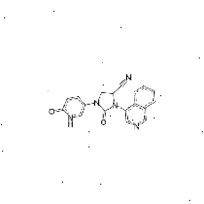 N#CC1CN(c2ccc(=O)[nH]c2)C(=O)N1c1cncc2ccccc12